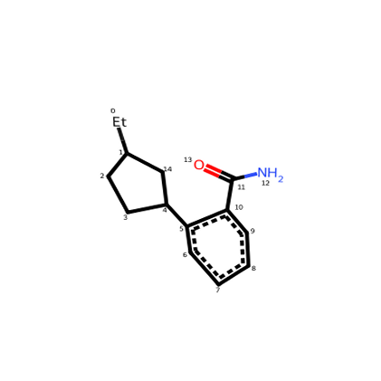 CCC1CCC(c2ccccc2C(N)=O)C1